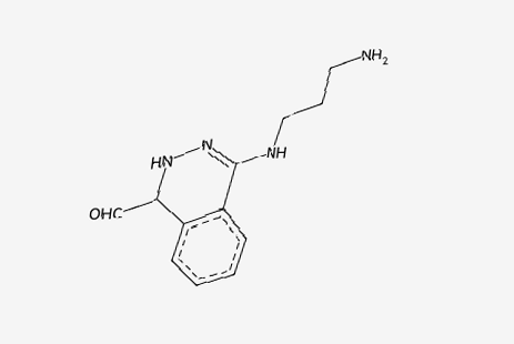 NCCCNC1=NNC(C=O)c2ccccc21